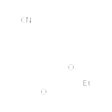 [C-]#[N+]CCC(=O)OCC